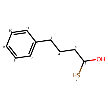 OC(S)CCCc1ccccc1